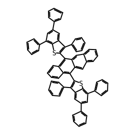 c1ccc(-c2cc(-c3ccccc3)c3sc(-c4c5ccccc5c(-c5sc6c(-c7ccccc7)cc(-c7ccccc7)cc6c5-c5ccccc5)c5cc6ccccc6cc45)c(-c4ccccc4)c3c2)cc1